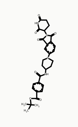 CC(C)(C)OC(=O)c1ccc(C(=O)NC2CCN(c3ccc4c(c3)C(=O)N(C3CCC(=O)NC3=O)C4=O)CC2)cc1